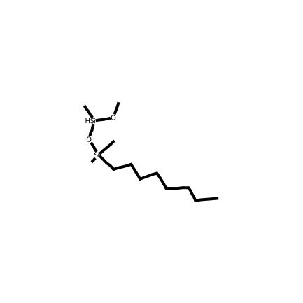 CCCCCCCC[Si](C)(C)O[SiH](C)OC